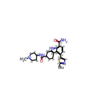 CN1CCC(NC(=O)C2CCc3c([nH]c4c(C(N)=O)ccc(-c5cnc(C(C)(C)C)s5)c34)C2)CC1